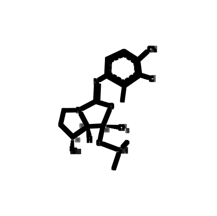 Cc1c(N=C2O[C@](O[SiH](C)C)(C(F)(F)F)[C@@H]3[C@H](C(C)(C)C)CCN23)ccc(C#N)c1Cl